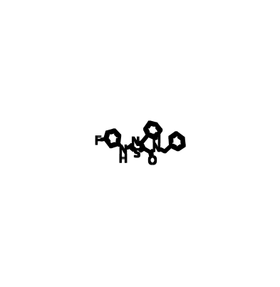 O=C(NCc1ccccc1)c1sc(Nc2cccc(F)c2)nc1-c1ccccc1